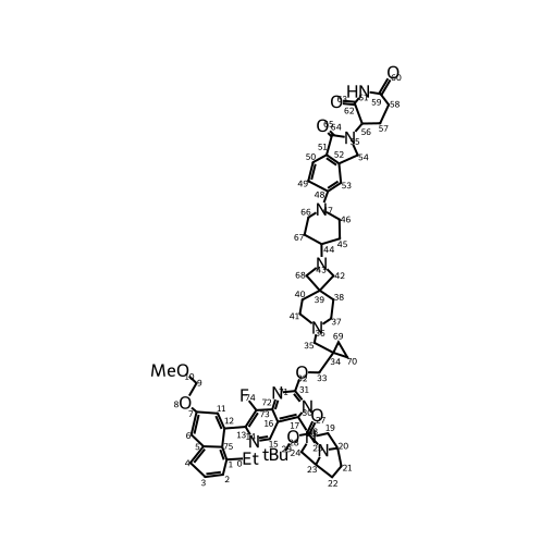 CCc1cccc2cc(OCOC)cc(-c3ncc4c(N5CC6CCC(C5)N6C(=O)OC(C)(C)C)nc(OCC5(CN6CCC7(CC6)CN(C6CCN(c8ccc9c(c8)CN(C8CCC(=O)NC8=O)C9=O)CC6)C7)CC5)nc4c3F)c12